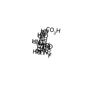 CC[C@@]1(O)C(=O)OCc2c1cc1n(c2=O)Cc2c-1nc1cc(F)c(C)c3c1c2[C@@H](NC(=O)C1(OCNC(=O)CNC(=O)[C@H](Cc2ccccc2)NC(=O)CNC(=O)CNC(=O)[C@H](CNCC(=O)O)N2CC=CC2=O)CCC1)CC3